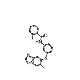 Cc1cn2ccnc2cc1Sc1cccc(NC(=O)c2ccccc2C)c1